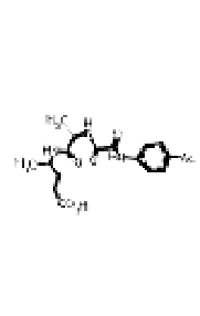 CC(=O)c1ccc(NC(=O)C(=O)N[C@@H](C)C(=O)N[C@H](C)CCC(=O)O)cc1